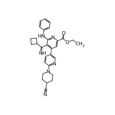 CCOC(=O)c1cc(-c2ccc(N3CCC(C#N)CC3)nc2)c(C(=N)C2CCC2)c(Nc2ccccc2)n1